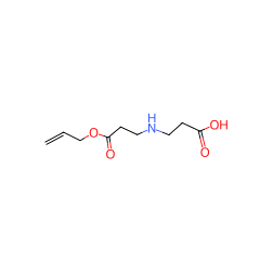 C=CCOC(=O)CCNCCC(=O)O